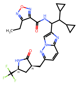 CCc1nonc1C(=O)NC(c1cn2nc(C[C@H]3C[C@@H](C(F)(F)F)NC3=O)ccc2n1)C(C1CC1)C1CC1